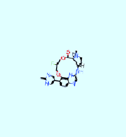 Cc1ncc(-c2ccc3ncc4nc3c2OCC(F)COC(=O)[C@@H]2C[C@H](CCN2C)N4)cn1